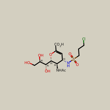 CC(=O)N[C@H]1[C@H]([C@H](O)[C@H](O)CO)OC(C(=O)O)=C[C@@H]1NS(=O)(=O)CCCCl